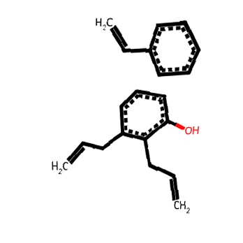 C=CCc1cccc(O)c1CC=C.C=Cc1ccccc1